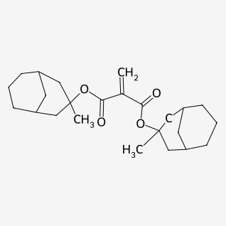 C=C(C(=O)OC1(C)CC2CCCC(C2)C1)C(=O)OC1(C)CC2CCCC(C2)C1